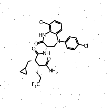 NC(=O)[C@H](CCC(F)(F)F)[C@H](CC1CC1)C(=O)N[C@H]1CN(c2ccc(Cl)cc2)c2cccc(Cl)c2NC1=O